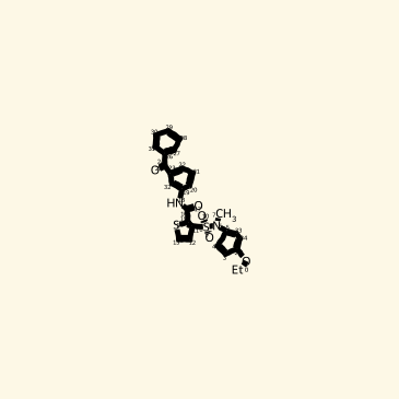 CCOc1ccc(N(C)S(=O)(=O)c2ccsc2C(=O)Nc2cccc(C(=O)c3ccccc3)c2)cc1